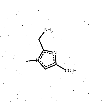 Cn1cc(C(=O)O)nc1CN